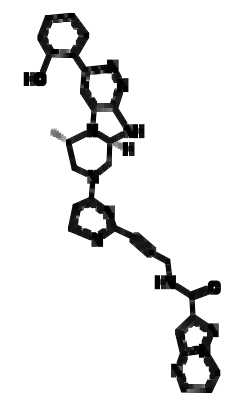 C[C@H]1CN(c2ccnc(C#CCNC(=O)c3cc4ncccn4n3)n2)C[C@@H]2Nc3nnc(-c4ccccc4O)cc3N21